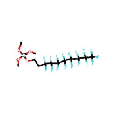 CO[Si](OC)(OC)OCCC(F)(F)C(F)(F)C(F)(F)C(F)(F)C(F)(F)C(F)(F)C(F)(F)C(F)(F)F